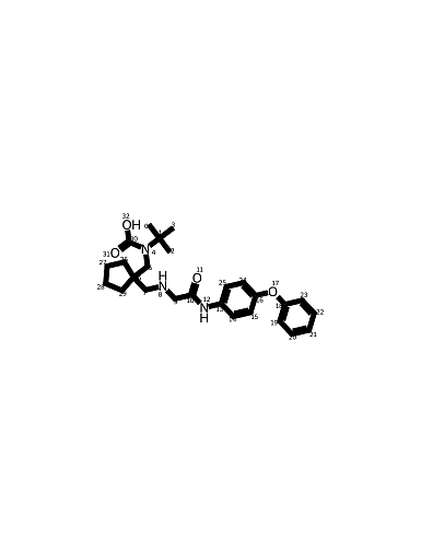 CC(C)(C)N(CC1(CNCC(=O)Nc2ccc(Oc3ccccc3)cc2)CCCC1)C(=O)O